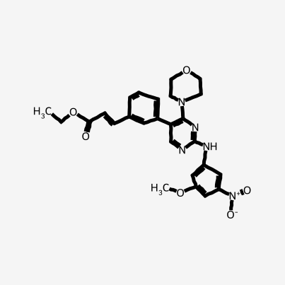 CCOC(=O)C=Cc1cccc(-c2cnc(Nc3cc(OC)cc([N+](=O)[O-])c3)nc2N2CCOCC2)c1